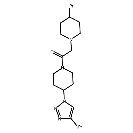 CC(C)c1cn(C2CCN(C(=O)CN3CCC(C(C)C)CC3)CC2)nn1